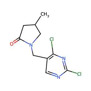 CC1CC(=O)N(Cc2cnc(Cl)nc2Cl)C1